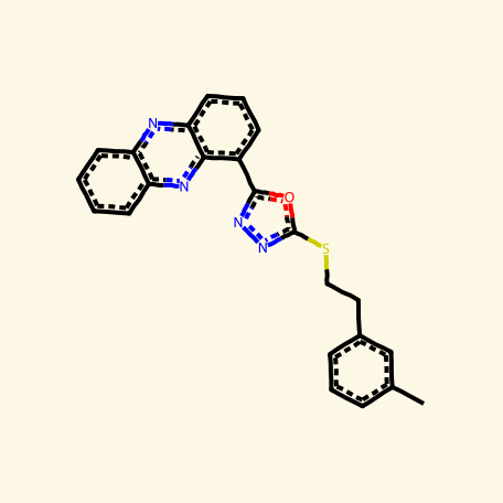 Cc1cccc(CCSc2nnc(-c3cccc4nc5ccccc5nc34)o2)c1